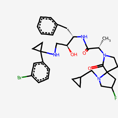 C[C@@H](C(=O)N[C@@H](Cc1ccccc1)[C@@H](O)CNC1(c2cccc(Br)c2)CC1)N1CCC2(CC(F)CN2CC2CC2)C1=O